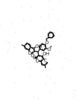 COc1cc(C(c2c(O)c3ccc(C)cc3oc2=O)c2c(O)c3ccc(C)cc3oc2=O)ccc1OCc1ccccc1